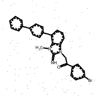 Cn1c(=N)n(CC(=O)c2ccc(Br)cc2)c2cccc(-c3ccc(-c4ccccc4)cc3)c21